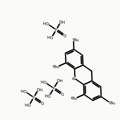 CC(C)(C)c1cc2[c](c(C(C)(C)C)c1)[Al][c]1c(cc(C(C)(C)C)cc1C(C)(C)C)C2.O=P(O)(O)O.O=P(O)(O)O.O=P(O)(O)O